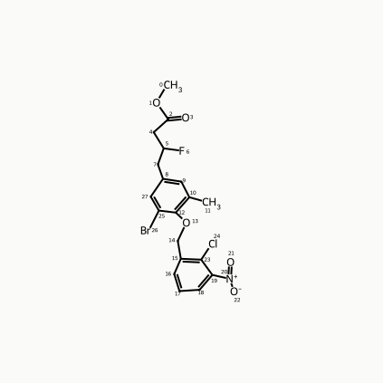 COC(=O)CC(F)Cc1cc(C)c(OCc2cccc([N+](=O)[O-])c2Cl)c(Br)c1